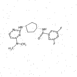 CN(C)c1ccnc(N[C@H]2CC[C@@H](NC(=O)c3cc(F)cc(F)c3)CC2)n1